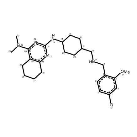 COc1cc(Cl)ccc1CNCC1CCC(Nc2nc3c(c(N(C)C)n2)CCCC3)CC1